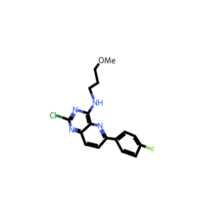 COCCCNc1nc(Cl)nc2ccc(-c3ccc(F)cc3)nc12